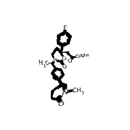 COC(=O)C[C@]1(c2ccc(F)cc2)CCN([C@@H](C)c2ccc(-c3ccc(=O)n(C)c3)cc2)C(=O)O1